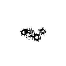 CC1(C)C2CCC1(C)C(NC(=O)c1ccnc(-n3ccnc3)c1)C2